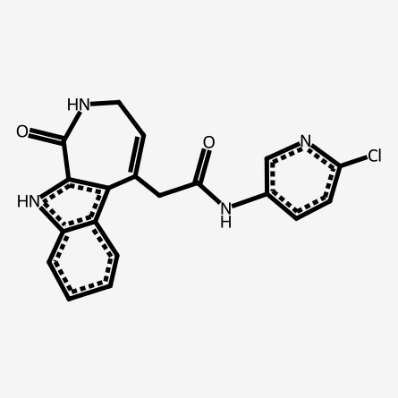 O=C(CC1=CCNC(=O)c2[nH]c3ccccc3c21)Nc1ccc(Cl)nc1